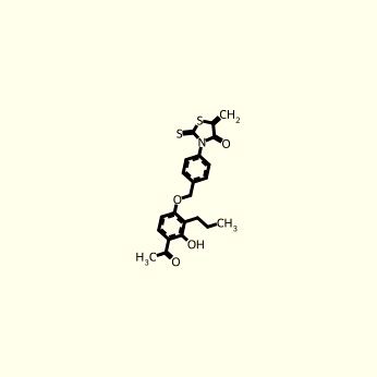 C=C1SC(=S)N(c2ccc(COc3ccc(C(C)=O)c(O)c3CCC)cc2)C1=O